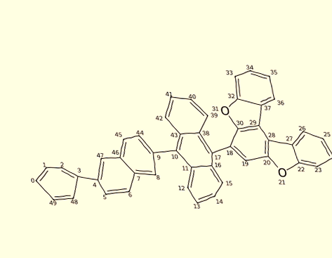 c1ccc(-c2ccc3cc(-c4c5ccccc5c(-c5cc6oc7ccccc7c6c6c5oc5ccccc56)c5ccccc45)ccc3c2)cc1